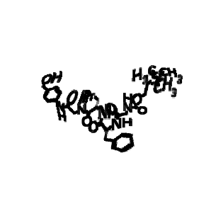 CC(C)C[C@H](NC(=O)[C@H](Cc1ccccc1)NC(=O)CNC(=O)OCC[Si](C)(C)C)C(=O)NCC(=O)Nc1ccc(CO)cc1